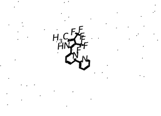 Cc1[nH]c(-c2cccc(-c3ccccn3)n2)c(C(F)(F)F)c1C(F)(F)F